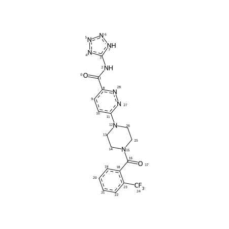 O=C(Nc1nnn[nH]1)c1ccc(N2CCN(C(=O)c3ccccc3C(F)(F)F)CC2)nn1